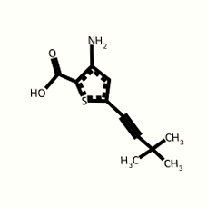 CC(C)(C)C#Cc1cc(N)c(C(=O)O)s1